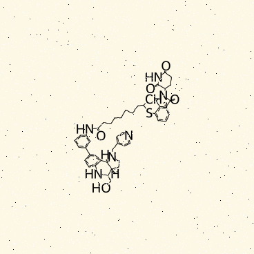 CC(CCCCCCCC(=O)Nc1cccc(-c2ccc3c(c2)[C@H]2[C@H](CCN2Cc2ccncc2)[C@@H](CO)N3)c1)Sc1cccc2c1CN(C1CCC(=O)NC1=O)C2=O